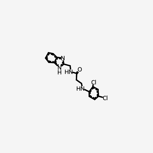 O=C(CCNc1ccc(Cl)cc1Cl)NCc1nc2ccccc2[nH]1